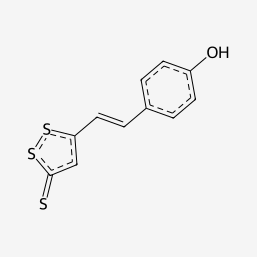 Oc1ccc(C=Cc2cc(=S)ss2)cc1